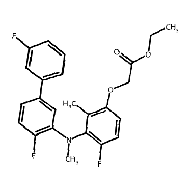 CCOC(=O)COc1ccc(F)c(N(C)c2cc(-c3cccc(F)c3)ccc2F)c1C